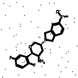 C[S+]([O-])c1ccc2c(c1)CN([C@H]1CO[C@H](c3cc(F)ccc3F)C(N)C1)C2